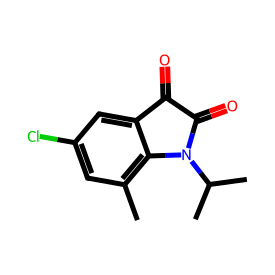 Cc1cc(Cl)cc2c1N(C(C)C)C(=O)C2=O